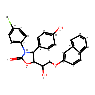 O=C1OC(C(O)COc2ccc3ccccc3c2)C(c2ccc(O)cc2)N1c1ccc(F)cc1